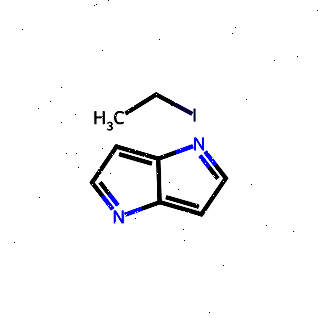 C1=NC2=CC=NC2=C1.CCI